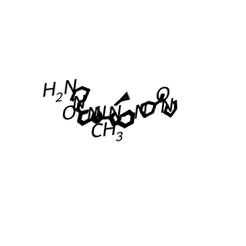 Cc1c(-c2cc3ccc(N4CCC(C(=O)N5CCCC5)CC4)cc3n2CC2CC2)nn2cc(C(=O)N3CCC[C@@H](N)C3)ccc12